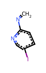 C=Nc1ccc(I)cn1